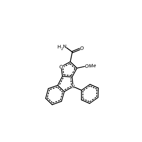 COc1c(C(N)=O)oc2c3ccccc3n(-c3ccccc3)c12